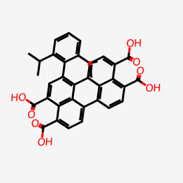 CC(C)c1cccc(C(C)C)c1-c1cc(C(=O)O)c2c(C(=O)O)ccc3c4ccc(C(=O)O)c5c(C(=O)O)ccc(c1c23)c54